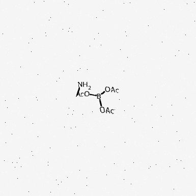 CC(=O)OB(OC(C)=O)OC(C)=O.CN